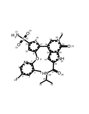 Cc1cc(F)cnc1Oc1cc(S(N)(=O)=O)sc1-c1cn(C)c(=O)c2[nH]c(C(=O)NC(C)C)cc12